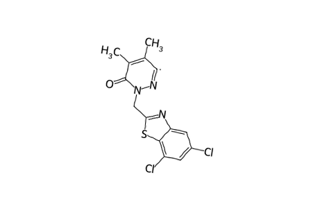 Cc1[c]nn(Cc2nc3cc(Cl)cc(Cl)c3s2)c(=O)c1C